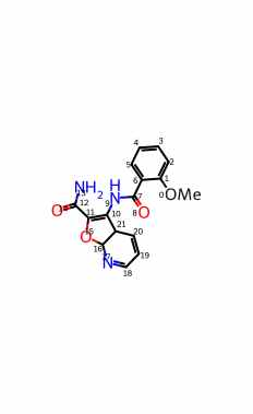 COc1ccccc1C(=O)NC1=C(C(N)=O)OC2N=CC=CC12